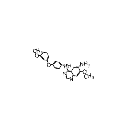 COc1cccc(Oc2ccc(Nc3ncnc4cc(OC)c(N)cc34)cc2)c1